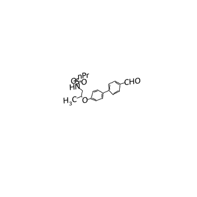 CCCS(=O)(=O)NCC(C)Oc1ccc(-c2ccc(C=O)cc2)cc1